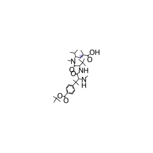 CNC(C(=O)NC(C(=O)N(C)C(/C=C(\C)C(=O)O)C(C)C)C(C)(C)C)C(C)(C)c1ccc(C(=O)OC(C)(C)C)cc1